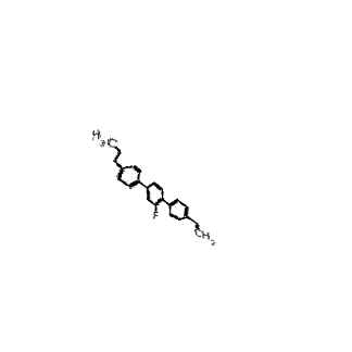 C=Cc1ccc(-c2ccc(-c3ccc(CCC)cc3)cc2F)cc1